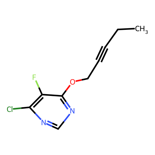 CCC#CCOc1ncnc(Cl)c1F